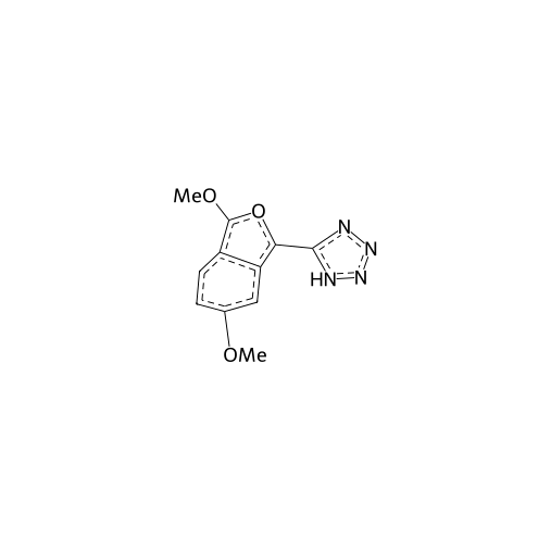 COc1ccc2c(OC)oc(-c3nnn[nH]3)c2c1